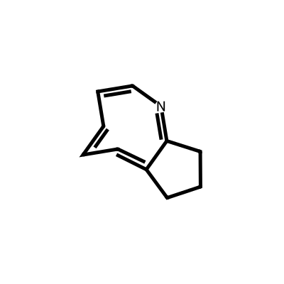 C1=C\N=C2\CCC\C2=C/C=C/1